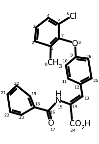 Cc1cccc(Cl)c1Oc1ccc(C=C(NC(=O)c2ccccc2)C(=O)O)cc1